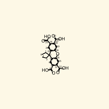 CCC1(CC)c2cc(C(=O)O)c(C(=O)O)cc2Oc2cc(C(=O)O)c(C(=O)O)cc21